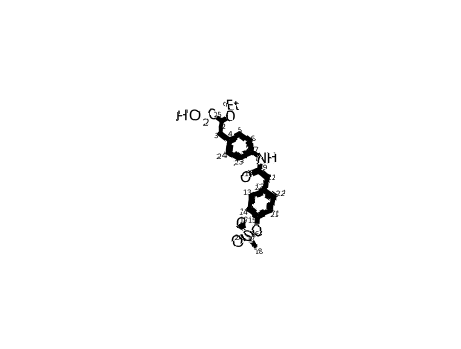 CCOC(Cc1ccc(NC(=O)Cc2ccc(OS(C)(=O)=O)cc2)cc1)C(=O)O